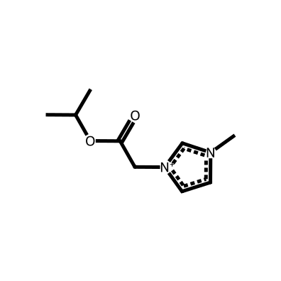 CC(C)OC(=O)C[n+]1ccn(C)c1